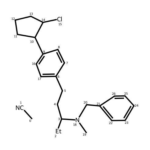 CC#N.CCC(CCc1ccc(C2CCCC2Cl)cc1)N(C)Cc1ccccc1